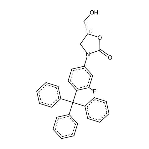 O=C1O[C@@H](CO)CN1c1ccc(C(c2ccccc2)(c2ccccc2)c2ccccc2)c(F)c1